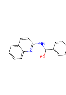 OC(Nc1ccc2ccccc2n1)c1ccccc1